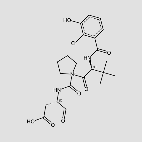 CC(C)(C)[C@H](NC(=O)c1cccc(O)c1Cl)C(=O)[N+]1(C(=O)N[C@H](C=O)CC(=O)O)CCCC1